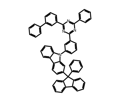 c1ccc(-c2cccc(-c3nc(-c4ccccc4)nc(-c4cccc(-n5c6ccccc6c6ccc(C7(c8ccccc8)c8ccccc8-c8ccccc87)cc65)c4)n3)c2)cc1